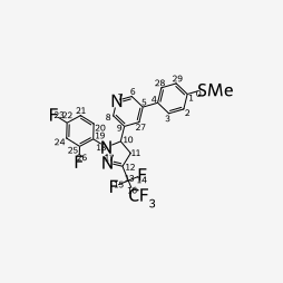 CSc1ccc(-c2cncc(C3CC(C(F)(F)C(F)(F)F)=NN3c3ccc(F)cc3F)c2)cc1